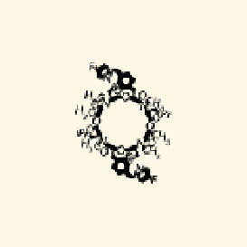 CC(C)C[C@H]1C(=O)O[C@H](Cc2ccc(Cn3cc(F)cn3)cc2)C(=O)N(C)[C@@H](CC(C)C)C(=O)O[C@H](C)C(=O)N(C)[C@@H](CC(C)C)C(=O)O[C@H](Cc2ccc(Cn3cc(F)cn3)cc2)C(=O)N(C)[C@@H](CC(C)C)C(=O)O[C@H](C)C(=O)N1C